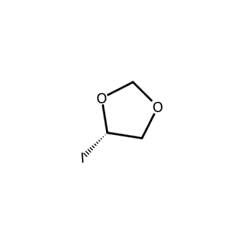 I[C@H]1COCO1